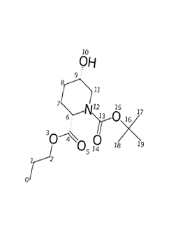 CCCOC(=O)[C@@H]1CC[C@H](O)CN1C(=O)OC(C)(C)C